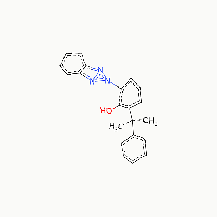 CC(C)(c1ccccc1)c1cccc(-n2n3c4ccccc4n23)c1O